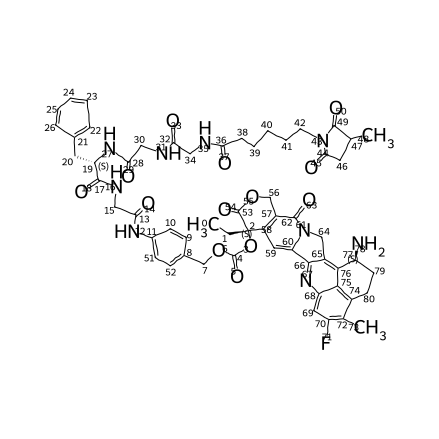 CC[C@@]1(OC(=O)OCc2ccc(NC(=O)CNC(=O)[C@H](Cc3ccccc3)NC(=O)CNC(=O)CNC(=O)CCCCCN3C(=O)CC(C)C3=O)cc2)C(=O)OCc2c1cc1n(c2=O)Cc2c-1nc1cc(F)c(C)c3c1c2[C@@H](N)CC3